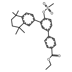 CCOC(=O)c1ccc(-c2ccc(OS(C)(=O)=O)c(-c3ccc4c(c3)C(C)(C)CCC4(C)C)c2)cc1